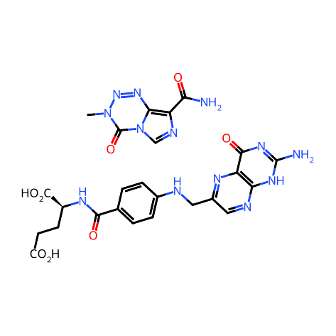 Cn1nnc2c(C(N)=O)ncn2c1=O.Nc1nc(=O)c2nc(CNc3ccc(C(=O)N[C@@H](CCC(=O)O)C(=O)O)cc3)cnc2[nH]1